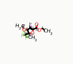 CCOC(=O)C1=C(I)[C@H](OC)[C@](C)(C(F)(F)F)O1